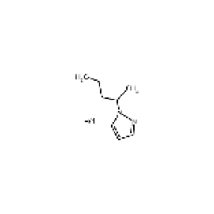 CCCC(C)n1cccn1.Cl